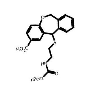 CCCCCC(=O)NCCSC1c2ccccc2COc2ccc(C(=O)O)cc21